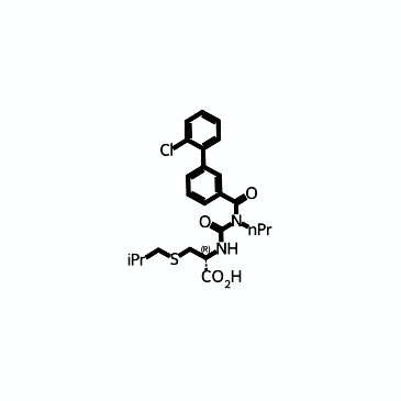 CCCN(C(=O)N[C@@H](CSCC(C)C)C(=O)O)C(=O)c1cccc(-c2ccccc2Cl)c1